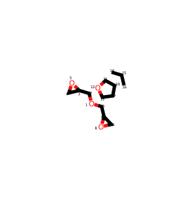 C(OCC1CO1)C1CO1.C1CCOC1.CCC